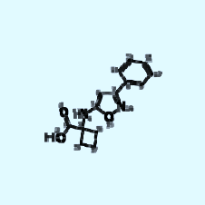 O=C(O)C1(Nc2cc(-c3ccccc3)no2)CCC1